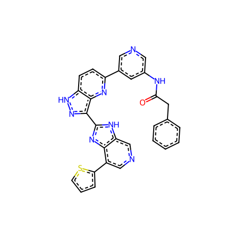 O=C(Cc1ccccc1)Nc1cncc(-c2ccc3[nH]nc(-c4nc5c(-c6cccs6)cncc5[nH]4)c3n2)c1